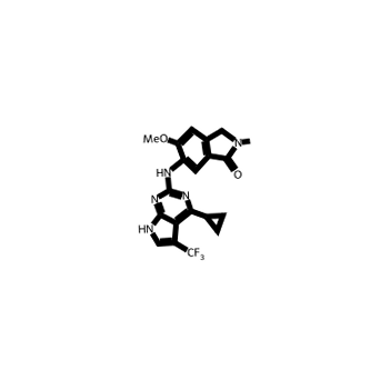 COc1cc2c(cc1Nc1nc(C3CC3)c3c(C(F)(F)F)c[nH]c3n1)C(=O)N(C)C2